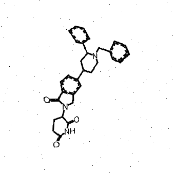 O=C1CCC(N2Cc3cc(C4CCN(Cc5ccccc5)C(c5ccccc5)C4)ccc3C2=O)C(=O)N1